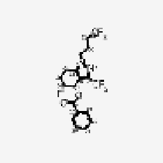 O=C(O[C@H]1c2c(C(F)(F)F)nn(CCCC(F)(F)F)c2CC[C@H]1F)c1ccccc1